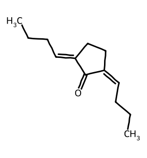 CCCC=C1CCC(=CCCC)C1=O